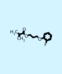 C=C(C)C(=O)OCCCOc1ccccc1F